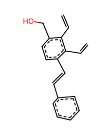 C=Cc1c(C=Cc2ccccc2)ccc(CO)c1C=C